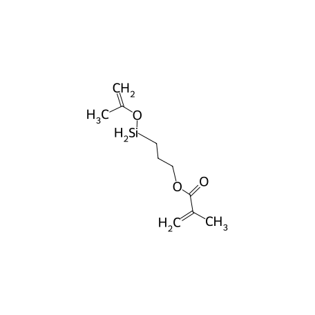 C=C(C)O[SiH2]CCCOC(=O)C(=C)C